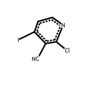 N#Cc1c(I)ccnc1Cl